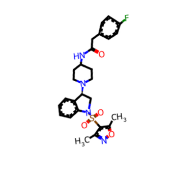 Cc1noc(C)c1S(=O)(=O)N1C[C@H](N2CCC(NC(=O)Cc3ccc(F)cc3)CC2)c2ccccc21